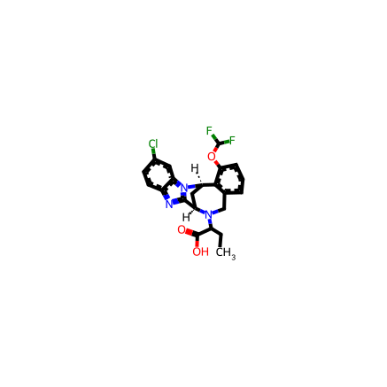 CCC(C(=O)O)N1Cc2cccc(OC(F)F)c2[C@H]2C[C@@H]1c1nc3ccc(Cl)cc3n12